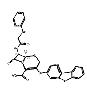 O=C(CNc1ccccc1)N[C@@H]1C(=O)N2C(C(=O)O)=C(Sc3ccc4c(c3)oc3ccccc34)CS[C@H]12